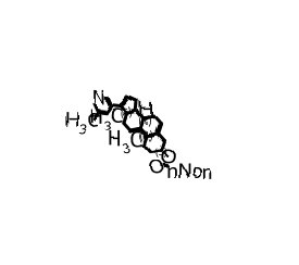 CCCCCCCCCC(=O)O[C@H]1CC[C@@]2(C)C(=CC[C@@H]3C2CC[C@]2(C)C(c4cncc(C)c4)=CCC32)C1